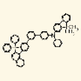 CC1(C)c2ccccc2-c2ccc(N(c3ccccc3)c3ccc(-c4cccc(-c5ccc6c(c5)C(c5ccccc5)(c5ccccc5)c5ccc7ccccc7c5-6)c4)cc3)cc21